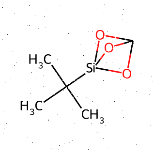 CC(C)(C)[Si]12OC(O1)O2